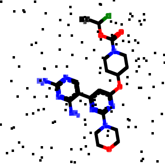 CC(Cl)OC(=O)N1CCC(Oc2cc(-c3cnc(N)nc3N)nc(N3CCOCC3)n2)CC1